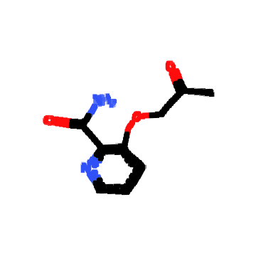 CC(=O)COc1cccnc1C(N)=O